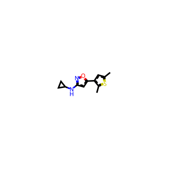 Cc1cc(-c2cc(NC3CC3)no2)c(C)s1